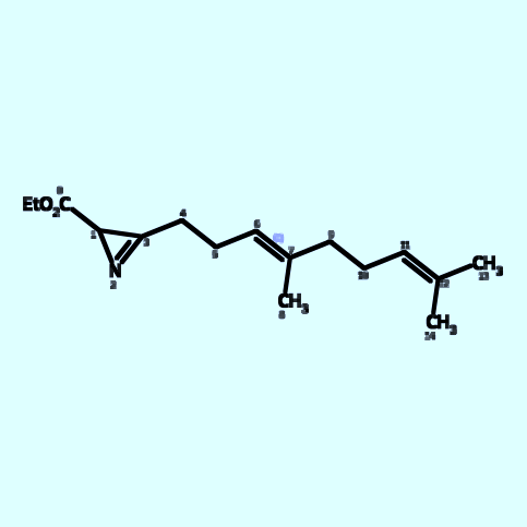 CCOC(=O)C1N=C1CC/C=C(\C)CCC=C(C)C